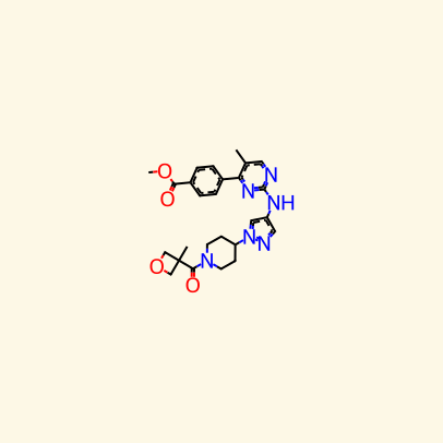 COC(=O)c1ccc(-c2nc(Nc3cnn(C4CCN(C(=O)C5(C)COC5)CC4)c3)ncc2C)cc1